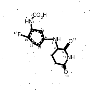 O=C(O)Nc1cc(NC2CCC(=O)NC2=O)ccc1F